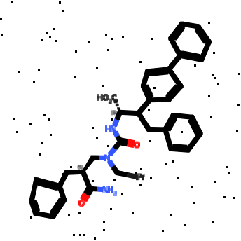 CC(C)CN(C[C@H](Cc1ccccc1)C(N)=O)C(=O)N[C@H](C(=O)O)C(Cc1ccccc1)c1ccc(-c2ccccc2)cc1